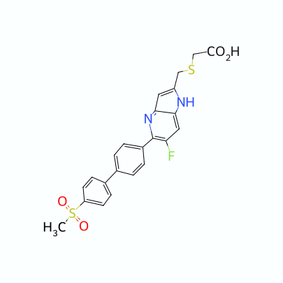 CS(=O)(=O)c1ccc(-c2ccc(-c3nc4cc(CSCC(=O)O)[nH]c4cc3F)cc2)cc1